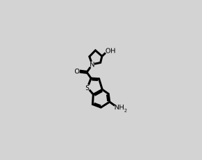 Nc1ccc2sc(C(=O)N3CCC(O)C3)cc2c1